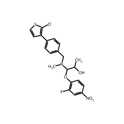 CC(O)C(Oc1ccc([N+](=O)[O-])cc1F)N(C)Cc1ccc(-c2ccsc2Cl)cc1